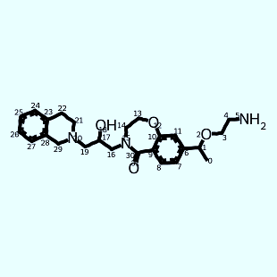 CC(OCCN)c1ccc2c(c1)OCCN(CC(O)CN1CCc3ccccc3C1)C2=O